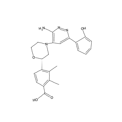 Cc1c(C(=O)O)ccc([C@H]2CN(c3cc(-c4ccccc4O)nnc3N)CCO2)c1C